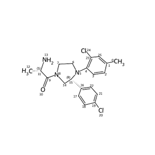 Cc1ccc(N2CCN(C(=O)[C@H](C)N)C[C@H]2c2ccc(Cl)cc2)c(Cl)c1